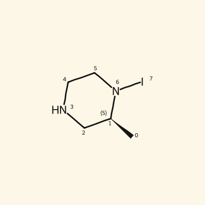 C[C@H]1CNCCN1I